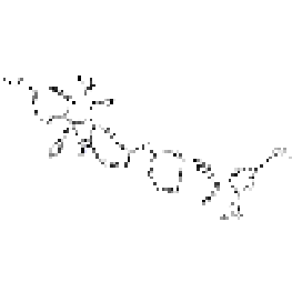 Cc1ccc(S(=O)(=O)/N=C2/C=CC(Oc3cccc(NC(=O)c4cc(C)nn4C)c3)=CC2CC(N)=O)cc1